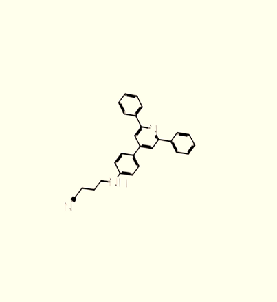 N#CCCCNc1ccc(-c2cc(-c3ccccc3)nc(-c3ccccc3)c2)cc1